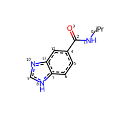 CC(C)NC(=O)c1ccc2[nH]cnc2c1